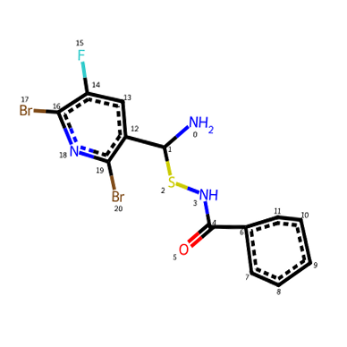 NC(SNC(=O)c1ccccc1)c1cc(F)c(Br)nc1Br